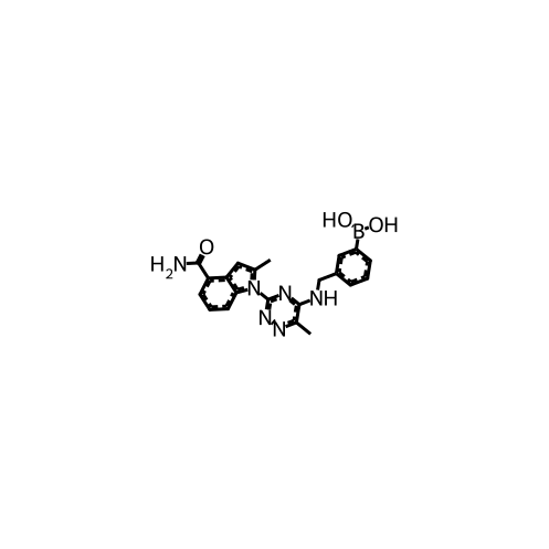 Cc1nnc(-n2c(C)cc3c(C(N)=O)cccc32)nc1NCc1cccc(B(O)O)c1